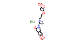 Cl.O=C1Cc2cc3c(cc2CCN1CC1CCCN(CCCOc2ccc4c(c2)OCO4)C1)OCO3